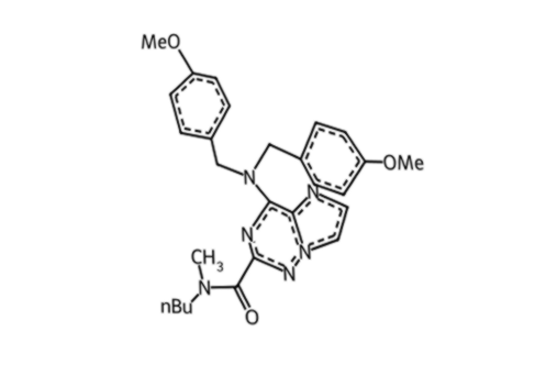 CCCCN(C)C(=O)c1nc(N(Cc2ccc(OC)cc2)Cc2ccc(OC)cc2)c2nccn2n1